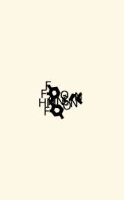 Cc1ccc(Nc2c(NS(=O)(=O)c3cn(C)c(C)n3)ccc(F)c2F)c(F)c1